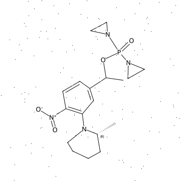 CC(OP(=O)(N1CC1)N1CC1)c1ccc([N+](=O)[O-])c(N2CCCC[C@H]2C)c1